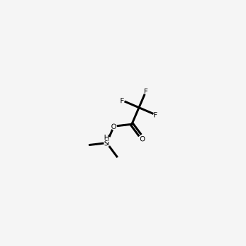 C[SiH](C)OC(=O)C(F)(F)F